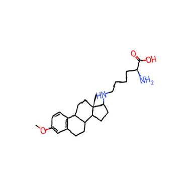 COc1ccc2c(c1)CCC1C2CC[C@]2(C)C(NCCCC[C@H](N)C(=O)O)CCC12